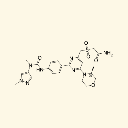 C[C@H]1COCCN1c1cc(CS(=O)(=O)CC(N)=O)nc(-c2ccc(NC(=O)N(C)c3cnn(C)c3)cc2)n1